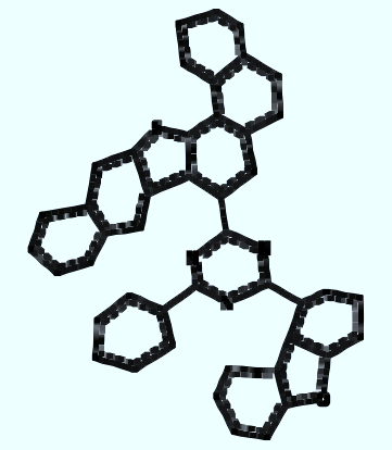 c1ccc(-c2nc(-c3cccc4oc5ccccc5c34)nc(-c3cc4ccc5ccccc5c4c4sc5cc6ccccc6cc5c34)n2)cc1